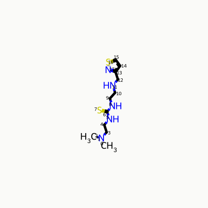 CN(C)CCNC(=S)NCCNCc1ccsn1